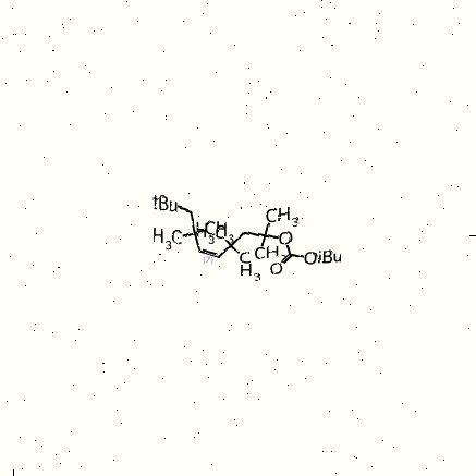 CC(C)COC(=O)OC(C)(C)CC(C)(C)/C=C\C(C)(C)CC(C)(C)C